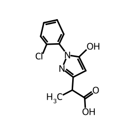 CC(C(=O)O)c1cc(O)n(-c2ccccc2Cl)n1